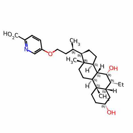 CC[C@H]1[C@@H](O)[C@@H]2[C@H](CC[C@]3(C)[C@@H]([C@H](C)CCOc4ccc(C(=O)O)nc4)CC[C@@H]23)[C@@]2(C)CC[C@@H](O)C[C@@H]12